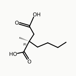 CCCC[C@](C)(CC(=O)O)C(=O)O